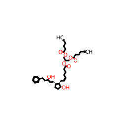 C#CCCCC(=O)OCC(COC(=O)CCCC#C)OC(=O)CCC/C=C\C[C@@H]1[C@@H](CC[C@@H](O)CCc2ccccc2)CC[C@@H]1O